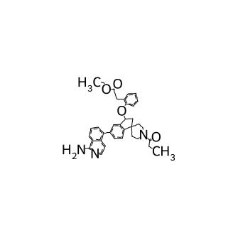 CCOC(=O)Cc1ccccc1OC1CC2(CCN(C(=O)CC)CC2)c2ccc(-c3cccc4c(N)nccc34)cc21